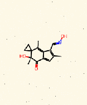 CC1=C(/C=N/O)C2=C(C)C3(CC3)[C@@](C)(O)C(=O)C2=C1